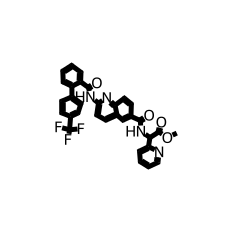 COC(=O)C(NC(=O)c1ccc2nc(NC(=O)c3ccccc3-c3ccc(C(F)(F)F)cc3)ccc2c1)c1ccccn1